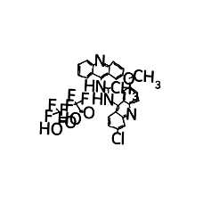 COc1ccc2nc3cc(Cl)ccc3c(NC(C)Nc3c4ccccc4nc4ccccc34)c2c1.O=C(O)C(F)(F)F.O=C(O)C(F)(F)F